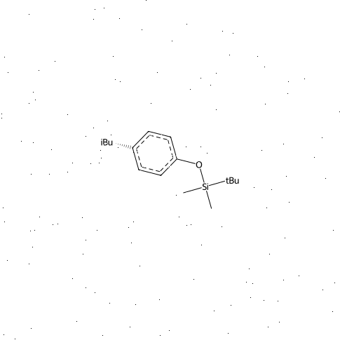 CC[C@@H](C)c1ccc(O[Si](C)(C)C(C)(C)C)cc1